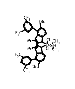 CC(C)CC1=Cc2c(ccc(C(C)(C)C)c2-c2cc(C(F)(F)F)cc(C(F)(F)F)c2)[CH]1[Zr]([Cl])([Cl])([CH]1C(CC(C)C)=Cc2c1ccc(C(C)(C)C)c2-c1cc(C(F)(F)F)cc(C(F)(F)F)c1)[SiH](C)C